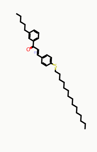 CCCCCCCCCCCCCCCSc1ccc(/C=C/C(=O)c2cccc(CCCCC)c2)cc1